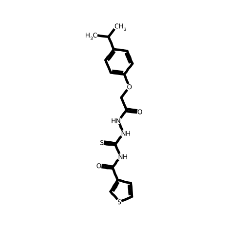 CC(C)c1ccc(OCC(=O)NNC(=S)NC(=O)c2ccsc2)cc1